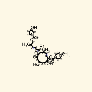 C/C(=C\C=C\[C@@H](C)COC(=O)N1CC[C@@H](O)C1)[C@H]1C(=O)C(=O)C[C@@H](O)CC[C@](C)(O)[C@@H](OC(=O)N2CCN(C)CC2)/C=C/[C@@H]1C